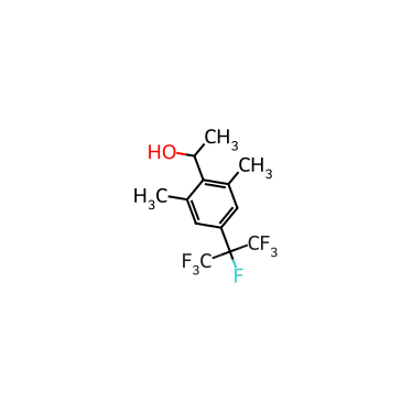 Cc1cc(C(F)(C(F)(F)F)C(F)(F)F)cc(C)c1C(C)O